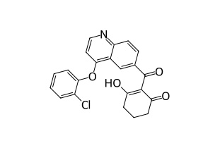 O=C1CCCC(O)=C1C(=O)c1ccc2nccc(Oc3ccccc3Cl)c2c1